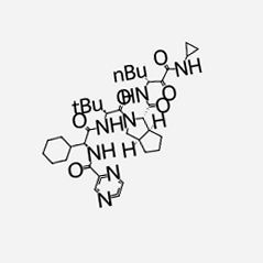 CCCC[C@@H](NC(=O)[C@@H]1[C@H]2CCC[C@H]2CN1C(=O)[C@@H](NC(=O)[C@@H](NC(=O)c1cnccn1)C1CCCCC1)C(C)(C)C)C(=O)C(=O)NC1CC1